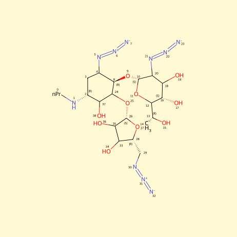 CCCN[C@@H]1CC(N=[N+]=[N-])[C@@H](O[C@H]2OC([C@@H](C)O)[C@@H](O)C(O)C2N=[N+]=[N-])C(O[C@@H]2O[C@H](CN=[N+]=[N-])C(O)C2O)C1O